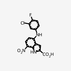 O=C(O)c1cc2c(Nc3ccc(F)c(Cl)c3)ccc([N+](=O)[O-])c2[nH]1